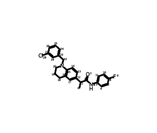 CC(C(=O)Nc1ccc(F)cc1)c1ccc2c(c1)CCCN2Cc1cccc(Cl)c1